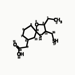 CCC1OC2(CCCC(CC(=O)O)C2)SC1CS